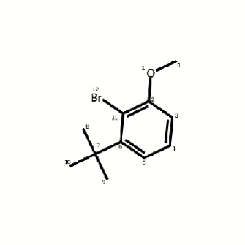 COc1cccc(C(C)(C)C)c1Br